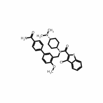 COc1ccc(-c2ccc(C(N)=O)cc2)cc1CN(C(=O)c1sc2ccccc2c1Cl)[C@H]1CC[C@H](N(C)C)CC1